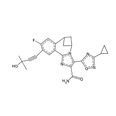 CC(C)(O)C#Cc1cc2c(cc1F)C1CC(C1)n1c-2nc(C(N)=O)c1-c1nc(C2CC2)no1